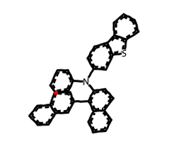 c1ccc(N(c2ccc3c(c2)sc2ccccc23)c2ccc3ccccc3c2-c2ccc3ccccc3c2)cc1